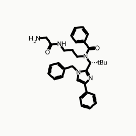 CC(C)(C)[C@H](c1nc(-c2ccccc2)cn1Cc1ccccc1)N(CCCNC(=O)CN)C(=O)c1ccccc1